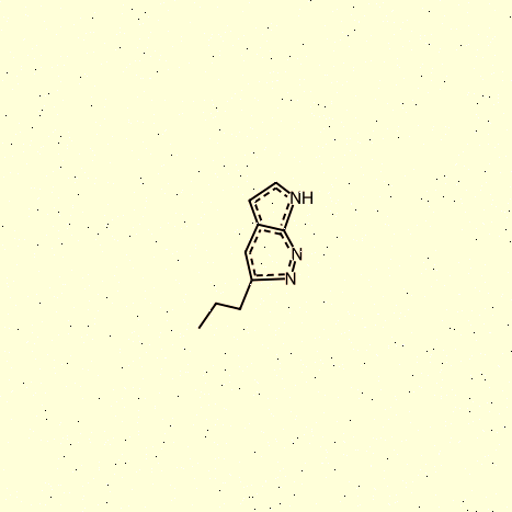 CCCc1cc2cc[nH]c2nn1